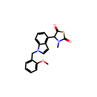 COc1ccccc1Cn1ccc2c(C3C(=O)SC(=O)N3C)cccc21